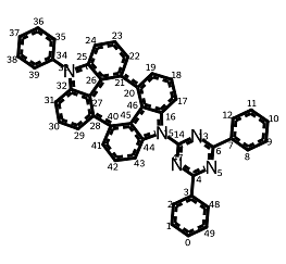 c1ccc(-c2nc(-c3ccccc3)nc(-n3c4cccc5c6cccc7c6c6c(cccc6n7-c6ccccc6)c6cccc3c6c54)n2)cc1